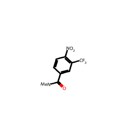 CNC(=O)c1ccc([N+](=O)[O-])c(C(F)(F)F)c1